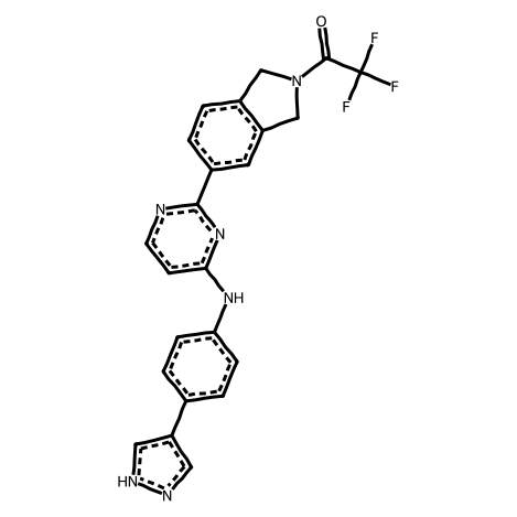 O=C(N1Cc2ccc(-c3nccc(Nc4ccc(-c5cn[nH]c5)cc4)n3)cc2C1)C(F)(F)F